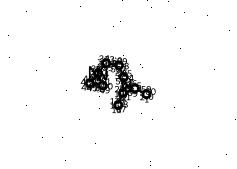 c1ccc(-c2ccc3c(c2)c2cc(-c4ccccc4)ccc2n3-c2ccc(-c3cccc(-c4cccc(-c5cnc6c7ccccc7c7ccccc7c6n5)c4)c3)cc2)cc1